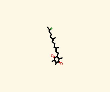 CC1=C(C)C(=O)C(C/C=C(\C)CC/C=C(\C)CC/C=C(/C)F)=C(C)C1=O